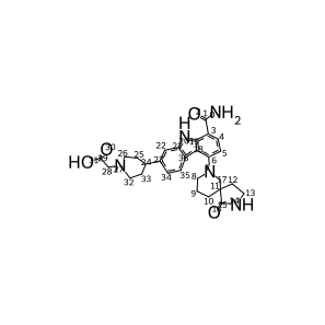 NC(=O)c1ccc(N2CCCC3(CCNC3=O)C2)c2c1[nH]c1cc(C3CCN(CC(=O)O)CC3)ccc12